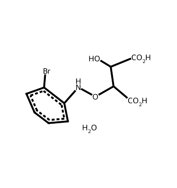 O.O=C(O)C(O)C(ONc1ccccc1Br)C(=O)O